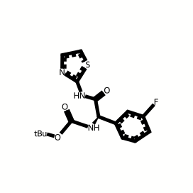 CC(C)(C)OC(=O)N[C@@H](C(=O)Nc1nccs1)c1cccc(F)c1